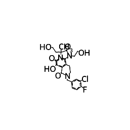 CC1(CCO)C(=O)N(CCO)c2c3c(c(O)c(=O)n21)C(=O)N(Cc1ccc(F)c(Cl)c1)CC3